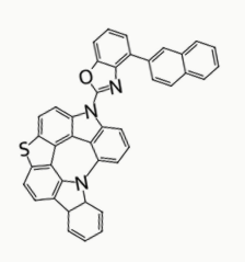 C1=CC2c3ccc4sc5ccc6c7c5c4c3n(c3cccc(c73)n6-c3nc4c(-c5ccc6ccccc6c5)cccc4o3)C2C=C1